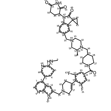 CNc1ccc(-c2ccnc3c2cc(CN2CC=C(c4c(F)cc(C(=O)N5CCC(CN6CCN(Cc7ccc8c(c7)C7(CC7)C(=O)N8C7CCC(=O)NC7=O)C[C@@H]6C)CC5)cc4F)CC2)n3C)cn1